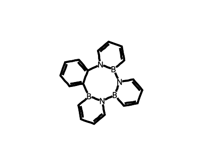 C1=CB2c3ccccc3N3C=CC=CB3N3C=CC=CB3N2C=C1